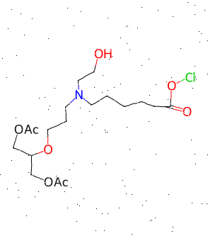 CC(=O)OCC(COC(C)=O)OCCCN(CCO)CCCCCC(=O)OCl